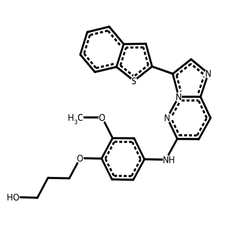 COc1cc(Nc2ccc3ncc(-c4cc5ccccc5s4)n3n2)ccc1OCCCO